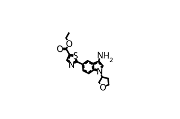 CCOC(=O)c1cnc(-c2ccc3c(c2)c(N)cn3C2CCOC2)s1